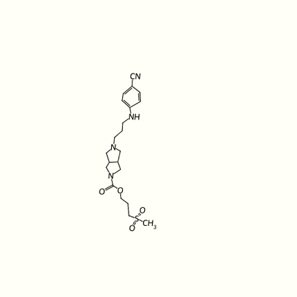 CS(=O)(=O)CCCOC(=O)N1CC2CN(CCCNc3ccc(C#N)cc3)CC2C1